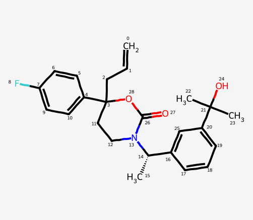 C=CCC1(c2ccc(F)cc2)CCN([C@@H](C)c2cccc(C(C)(C)O)c2)C(=O)O1